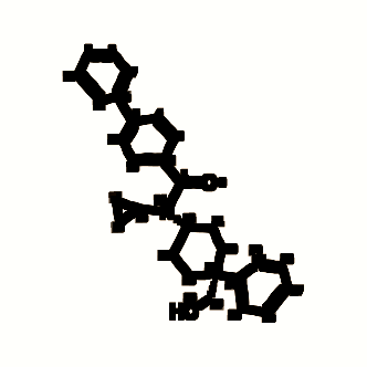 O=C(c1ccc(-c2ccccc2)cc1)N(C1CC1)[C@H]1CC[C@](CO)(c2ccccn2)CC1